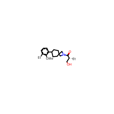 CCc1cccc(C2CCC3(CC2)CN(C(=O)[C@H](CC)CO)C3)c1OC